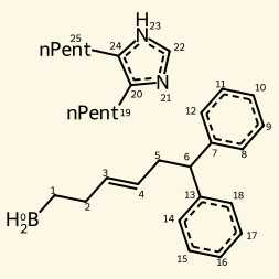 BCCC=CCC(c1ccccc1)c1ccccc1.CCCCCc1nc[nH]c1CCCCC